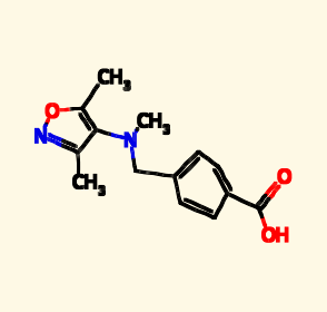 Cc1noc(C)c1N(C)Cc1ccc(C(=O)O)cc1